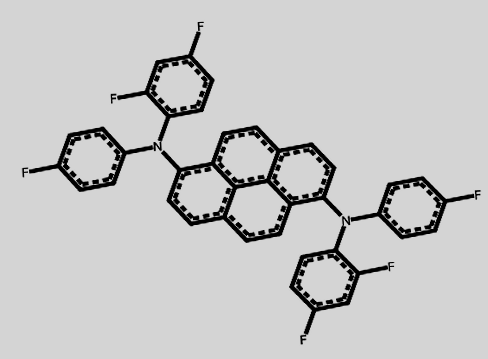 Fc1ccc(N(c2ccc(F)cc2F)c2ccc3ccc4c(N(c5ccc(F)cc5)c5ccc(F)cc5F)ccc5ccc2c3c54)cc1